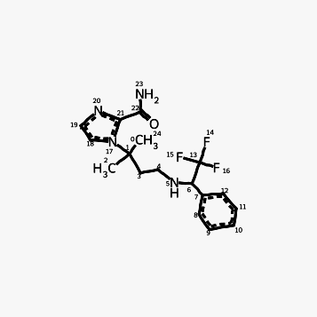 CC(C)(CCNC(c1ccccc1)C(F)(F)F)n1c[c]nc1C(N)=O